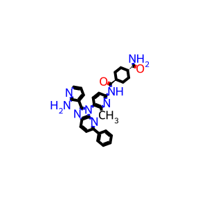 Cc1nc(NC(=O)[C@H]2CC[C@H](C(N)=O)CC2)ccc1-n1c(-c2cccnc2N)nc2ccc(-c3ccccc3)nc21